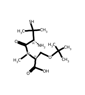 CN(C(=O)[C@@H](N)C(C)(C)S)[C@@H](COC(C)(C)C)C(=O)O